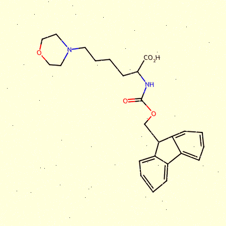 O=C(NC(CCCCN1CCOCC1)C(=O)O)OCC1c2ccccc2-c2ccccc21